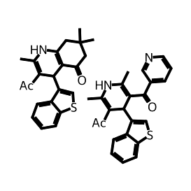 CC(=O)C1=C(C)NC(C)=C(C(=O)c2cccnc2)C1c1csc2ccccc12.CC(=O)C1=C(C)NC2=C(C(=O)CC(C)(C)C2)C1c1csc2ccccc12